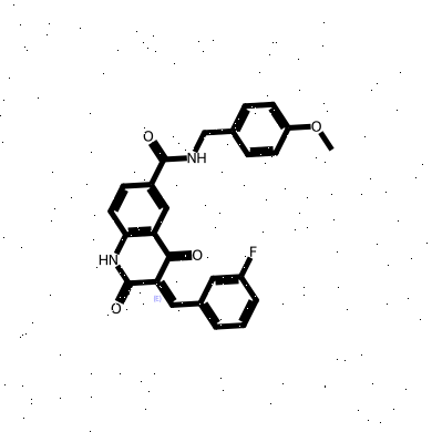 COc1ccc(CNC(=O)c2ccc3c(c2)C(=O)/C(=C\c2cccc(F)c2)C(=O)N3)cc1